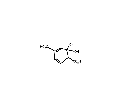 O=C(O)C1=CC(O)(O)C(C(=O)O)C=C1